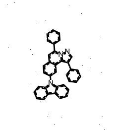 c1ccc(-c2cnn3c(-c4ccccc4)cc4ccc(-n5c6ccccc6c6ccccc65)cc4c23)cc1